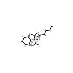 CCCC[SiH2]O[Si](C(C)C)(C(C)C)C1CCCCC1